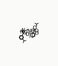 COc1ccnc(C(=O)N[C@@H](C)c2nc(-c3cccc(C(C)C)c3)n(C)n2)c1OC(=O)OCC(C)C